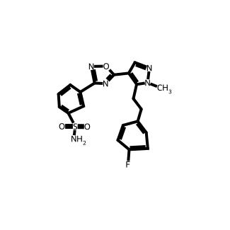 Cn1ncc(-c2nc(-c3cccc(S(N)(=O)=O)c3)no2)c1CCc1ccc(F)cc1